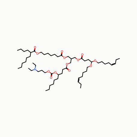 CC/C=C\CCCCOC(CCC(=O)OCC(COC(=O)CCCCCCOC(=O)C(CCCC)CCCCCC)COC(=O)CCC(CCCCCC)OC(=O)OCCCN(CC)CC)OCCCC/C=C\CC